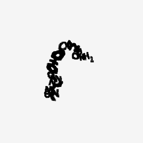 Cc1nc(-c2ccnc(Oc3ccc(C(C)(C)c4ccc(OC5CC(CC(C)(C)OC(N)=O)C5)cc4)cc3)n2)no1